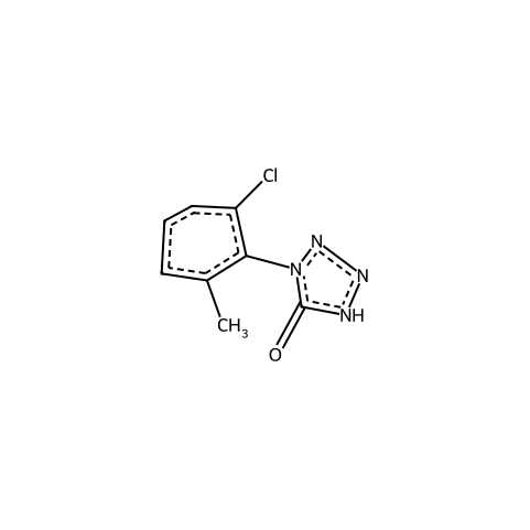 Cc1cccc(Cl)c1-n1nn[nH]c1=O